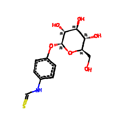 OC[C@H]1O[C@H](Oc2ccc(N[C]=S)cc2)[C@H](O)[C@@H](O)[C@@H]1O